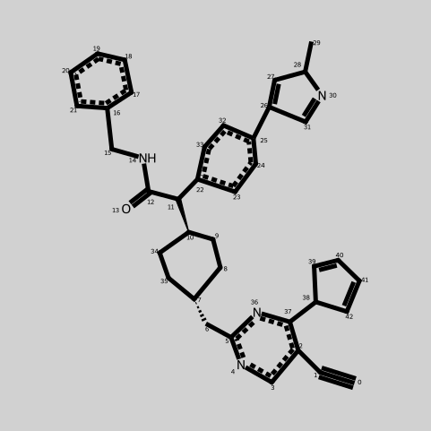 C#Cc1cnc(C[C@H]2CC[C@H](C(C(=O)NCc3ccccc3)c3ccc(C4=CC(C)N=C4)cc3)CC2)nc1C1C=CC=C1